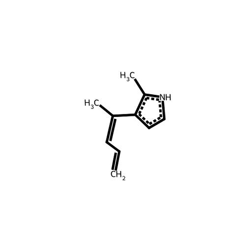 C=C/C=C(/C)c1cc[nH]c1C